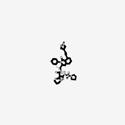 C[C@@H](NC(=O)c1c(NS(=O)(=O)N2CCCC2)nn2cccnc12)c1cc2cccc(C#Cc3cnn(C)c3)c2c(=O)n1-c1ccccc1